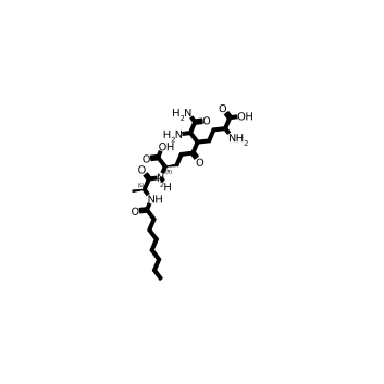 [2H]N(C(=O)[C@H](C)NC(=O)CCCCCCC)[C@H](CCC(=O)C(CCC(N)C(=O)O)C(N)C(N)=O)C(=O)O